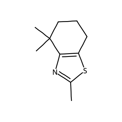 Cc1nc2c(s1)CCCC2(C)C